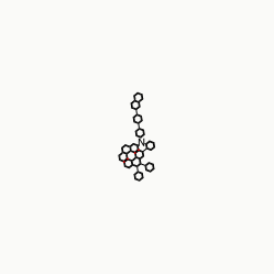 c1ccc(-c2c(-c3ccccc3)c3cc(-c4ccccc4N(c4ccc(-c5ccc(-c6ccc7ccccc7c6)cc5)cc4)c4ccc5c(ccc6ccccc65)c4)ccc3c3ccccc23)cc1